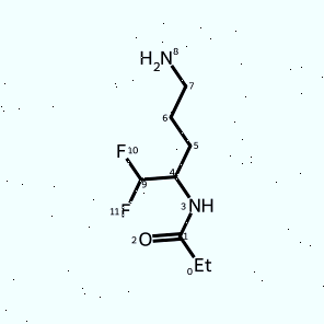 CCC(=O)NC(CCCN)C(F)F